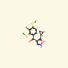 CSc1ccc(C(=O)c2cnoc2C2CC2)c(SC)c1C